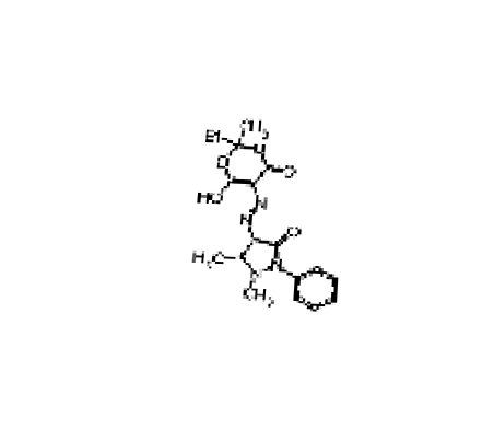 CCC1(C)OC(=O)C(/N=N/C2C(=O)N(c3ccccc3)N(C)C2C)=C(O)O1